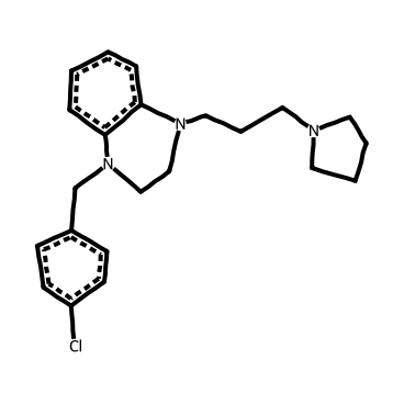 Clc1ccc(CN2CCN(CCCN3CCCC3)c3ccccc32)cc1